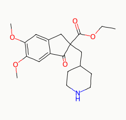 CCOC(=O)C1(CC2CCNCC2)Cc2cc(OC)c(OC)cc2C1=O